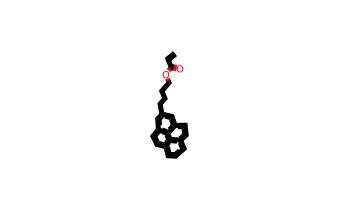 C=CC(=O)OCCCCc1cc2ccc3cccc4ccc(c1)c2c34